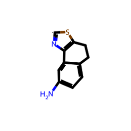 Nc1ccc2c(c1)-c1n[c]sc1CC2